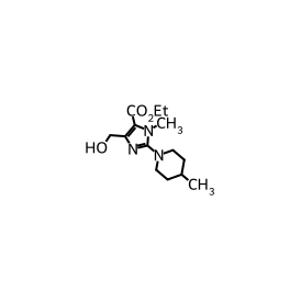 CCOC(=O)c1c(CO)nc(N2CCC(C)CC2)n1C